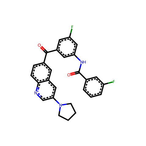 O=C(Nc1cc(F)cc(C(=O)c2ccc3ncc(N4CCCC4)cc3c2)c1)c1cccc(F)c1